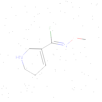 CON=C(F)C1=CCCNC1